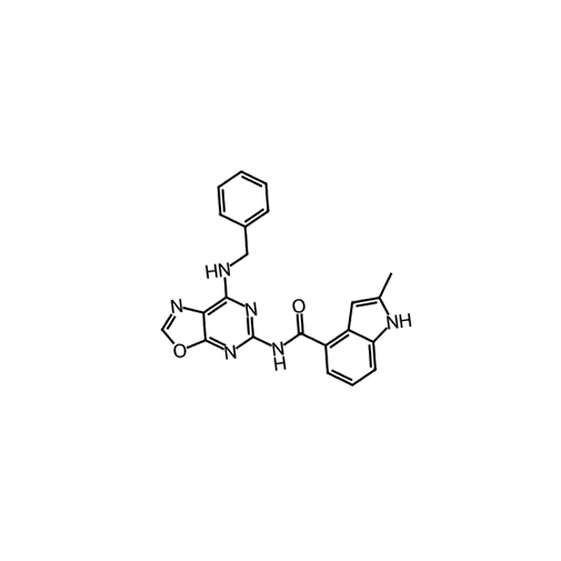 Cc1cc2c(C(=O)Nc3nc(NCc4ccccc4)c4ncoc4n3)cccc2[nH]1